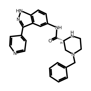 O=C(Nc1ccc2[nH]nc(-c3ccncc3)c2c1)[C@H]1CN(Cc2ccccc2)CCN1